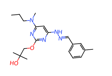 CCCN(C)c1cc(N/N=C/c2cccc(C)c2)nc(OCC(C)(C)O)n1